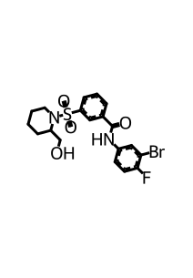 O=C(Nc1ccc(F)c(Br)c1)c1cccc(S(=O)(=O)N2CCCCC2CO)c1